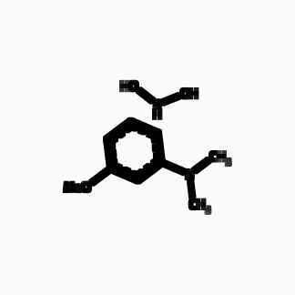 COc1cccc(N(C)C)c1.OBO